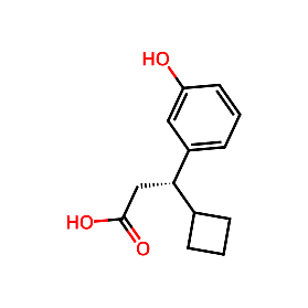 O=C(O)C[C@H](c1cccc(O)c1)C1CCC1